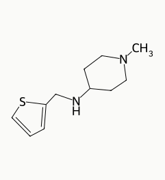 CN1CCC(NCc2cccs2)CC1